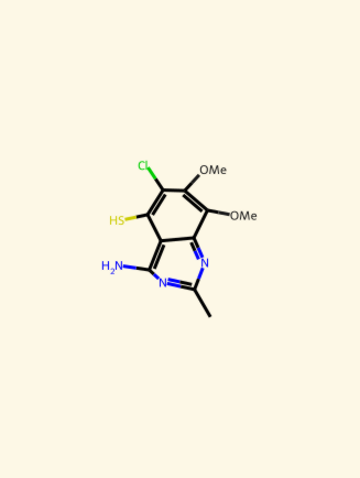 COc1c(Cl)c(S)c2c(N)nc(C)nc2c1OC